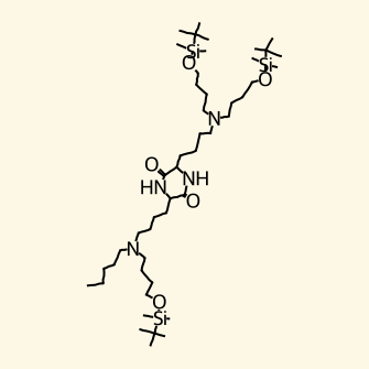 CCCCCN(CCCCO[Si](C)(C)C(C)(C)C)CCCCC1NC(=O)C(CCCCN(CCCCO[Si](C)(C)C(C)(C)C)CCCCO[Si](C)(C)C(C)(C)C)NC1=O